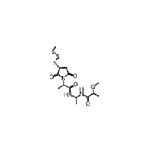 COC(C)C(=O)NC(C)NC(=O)C(C)N1C(=O)CC(SSSI)C1=O